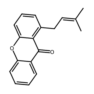 CC(C)=CCc1cccc2oc3ccccc3c(=O)c12